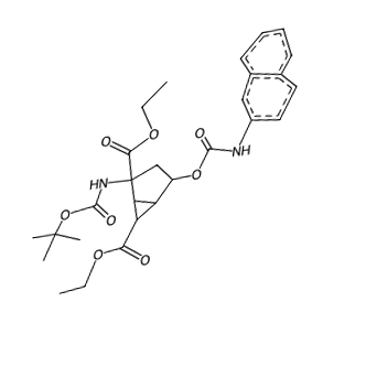 CCOC(=O)C1C2C(OC(=O)Nc3ccc4ccccc4c3)CC(NC(=O)OC(C)(C)C)(C(=O)OCC)C12